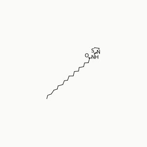 CCCCCCCCCCCCCCCCCC(=O)NC1=NCCS1